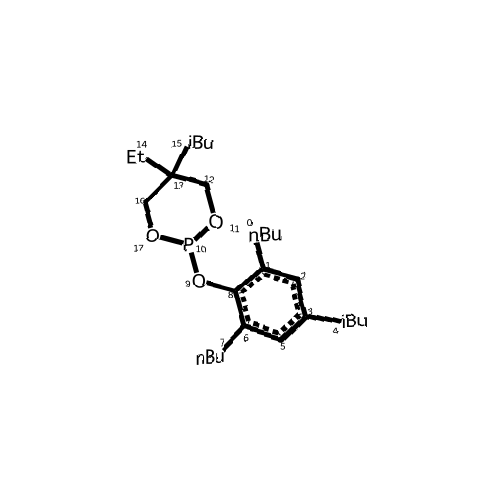 CCCCc1cc(C(C)CC)cc(CCCC)c1OP1OCC(CC)(C(C)CC)CO1